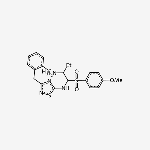 CCC(N)C(Nc1nc(Cc2ccccc2C)ns1)S(=O)(=O)c1ccc(OC)cc1